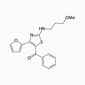 COCCCNc1nc(-c2ccco2)c(C(=O)c2ccccc2)s1